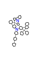 c1ccc(-c2ccc(-c3ccc(N(c4ccc5c(c4)C(c4ccccc4)(c4ccccc4)c4ccc6ccccc6c4-5)c4ccc5c(c4)C4(c6ccccc6-5)c5ccccc5-n5c6ccccc6c6cccc4c65)cc3)cc2)cc1